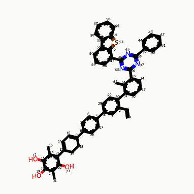 C=Cc1cc(-c2ccc(C3=CC=C(c4c(C)c(O)c(O)c(C)c4O)CC3)cc2)ccc1-c1cccc(-c2nc(-c3ccccc3)nc(-c3cccc4c3sc3ccccc34)n2)c1C